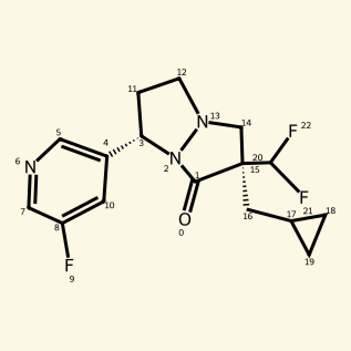 O=C1N2[C@H](c3cncc(F)c3)CCN2C[C@@]1(CC1CC1)C(F)F